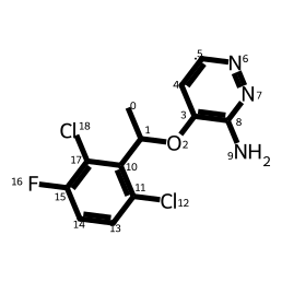 CC(Oc1c[c]nnc1N)c1c(Cl)ccc(F)c1Cl